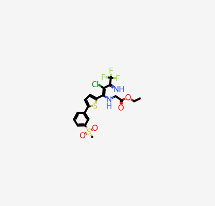 CCOC(=O)CN/C(=C(/Cl)C(=N)C(F)(F)F)c1ccc(-c2cccc(S(C)(=O)=O)c2)s1